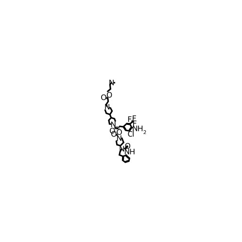 CN(C)CCCOC(=O)CCN1CCC(C2CCN(C(=O)[C@@H](Cc3cc(Cl)c(N)c(C(F)(F)F)c3)OC(=O)N3CCC(N4CCc5ccccc5NC4=O)CC3)CC2)CC1